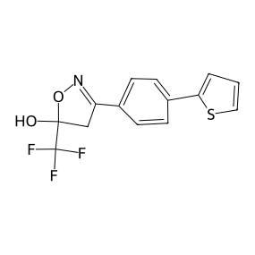 OC1(C(F)(F)F)CC(c2ccc(-c3cccs3)cc2)=NO1